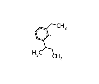 CCc1[c]c(C(C)CC)ccc1